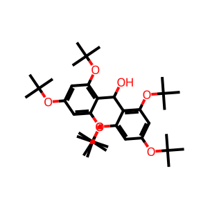 CC(C)(C)Oc1cc(OC(C)(C)C)c(C(O)c2c(OC(C)(C)C)cc(OC(C)(C)C)cc2OC(C)(C)C)c(OC(C)(C)C)c1